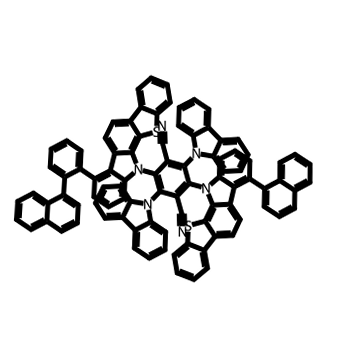 N#Cc1c(-n2c3ccccc3c3ccccc32)c(-n2c3cccc(-c4cccc5ccccc45)c3c3ccc4c5ccccc5sc4c32)c(C#N)c(-n2c3ccccc3c3ccccc32)c1-n1c2cccc(-c3ccccc3-c3cccc4ccccc34)c2c2ccc3c4ccccc4sc3c21